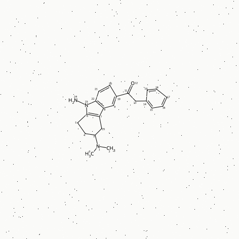 CN(C)C1CCc2c(c3cc(C(=O)Cc4ccccc4)ccc3n2N)C1